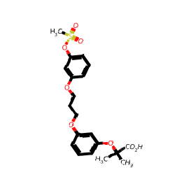 CC(C)(Oc1cccc(OCCCOc2cccc(OS(C)(=O)=O)c2)c1)C(=O)O